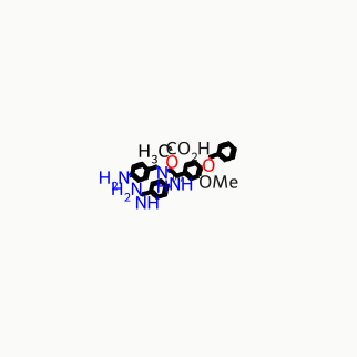 CC(=O)O.COc1cc([C@@H](Nc2ccc(C(=N)N)cc2)C(=O)NCc2ccc(N)cc2)ccc1OCc1ccccc1